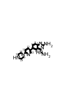 NNc1nc(N)nc2ccc(-c3ccc(N4CCNCC4)nc3)cc12